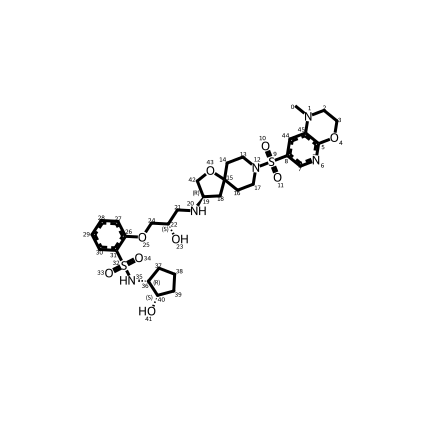 CN1CCOc2ncc(S(=O)(=O)N3CCC4(CC3)C[C@@H](NC[C@H](O)COc3ccccc3S(=O)(=O)N[C@@H]3CCC[C@@H]3O)CO4)cc21